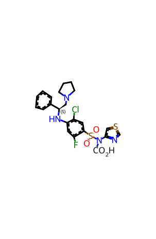 O=C(O)N(c1cscn1)S(=O)(=O)c1cc(Cl)c(N[C@H](CN2CCCC2)c2ccccc2)cc1F